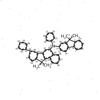 CC1(C)c2ccccc2-c2ccc(N(c3ccccc3)c3cc4c(c5ccccc35)C(C)(C)c3ccc(-c5ccccc5)cc3-4)cc21